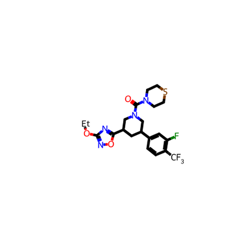 CCOc1noc(C2CC(c3ccc(C(F)(F)F)c(F)c3)CN(C(=O)N3CCSCC3)C2)n1